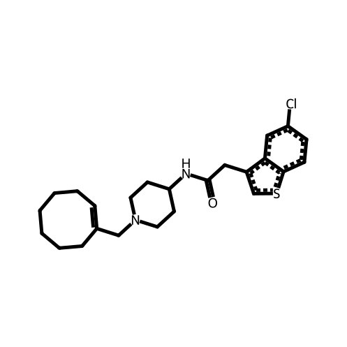 O=C(Cc1csc2ccc(Cl)cc12)NC1CCN(CC2=CCCCCCC2)CC1